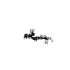 NNC(=O)CCCC(=O)NCCOc1cnc2ccc(-c3[nH]c(CNc4cccc(F)c4F)nc3-c3cccc(C(F)F)n3)cc2c1